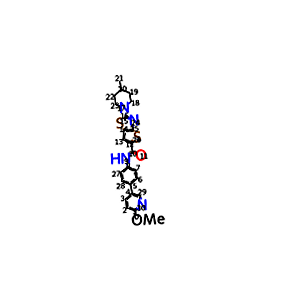 COc1ccc(-c2ccc(NC(=O)c3cc4sc(N5CCC(C)CC5)nc4s3)cc2)cn1